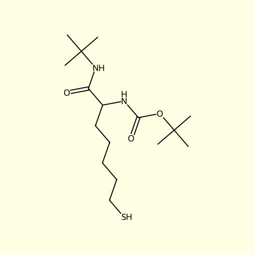 CC(C)(C)NC(=O)C(CCCCCS)NC(=O)OC(C)(C)C